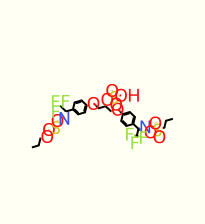 CCCOOSON=C(c1ccc(OCC(COc2ccc(/C(=N/OS(=O)(=O)CCC)C(F)(F)F)cc2)OS(=O)(=O)O)cc1)C(F)(F)F